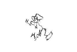 CN=NC(CCCC(C#N)(c1ccccc1)C(C)C)CCc1ccccc1